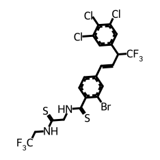 FC(F)(F)CNC(=S)CNC(=S)c1ccc(C=CC(c2cc(Cl)c(Cl)c(Cl)c2)C(F)(F)F)cc1Br